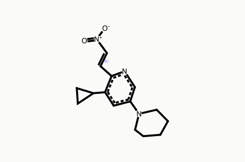 O=[N+]([O-])/C=C/c1ncc(N2CCCCC2)cc1C1CC1